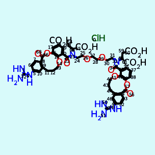 Cl.N=C(N)Nc1ccc2c(c1)CCCOc1c(cccc1C(=O)N(CCOCCOCCN(C(=O)c1cccc3c1OCCCc1cc(NC(=N)N)ccc1C(=O)O3)[C@@H](CC(=O)O)C(=O)O)[C@@H](CC(=O)O)C(=O)O)OC2=O